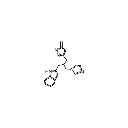 c1ccc2[nH]c(C[C](Cc3c[nH]nn3)Cn3ccnc3)cc2c1